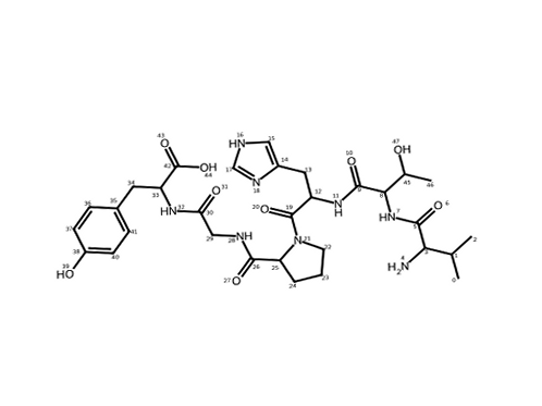 CC(C)C(N)C(=O)NC(C(=O)NC(Cc1c[nH]cn1)C(=O)N1CCCC1C(=O)NCC(=O)NC(Cc1ccc(O)cc1)C(=O)O)C(C)O